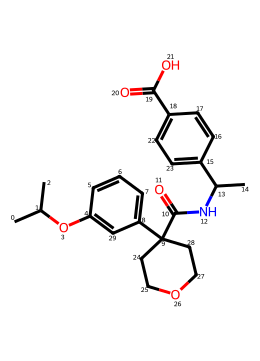 CC(C)Oc1cccc(C2(C(=O)NC(C)c3ccc(C(=O)O)cc3)CCOCC2)c1